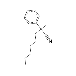 CCCCCCC(C)(C#N)c1ccccc1